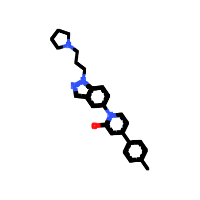 Cc1ccc(-c2ccn(-c3ccc4c(cnn4CCCN4CCCC4)c3)c(=O)c2)cc1